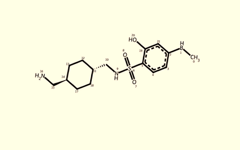 CBc1ccc(S(=O)(=O)NC[C@H]2CC[C@H](CN)CC2)c(O)c1